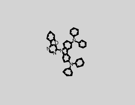 c1ccc(N(c2ccccc2)c2ccc3c(c2)c2cc(N(c4ccccc4)c4ccccc4)ccc2n3-c2ncnc3c2oc2ccccc23)cc1